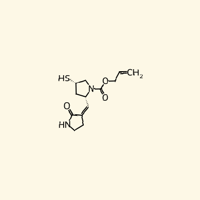 C=CCOC(=O)N1C[C@@H](S)C[C@H]1/C=C1/CCNC1=O